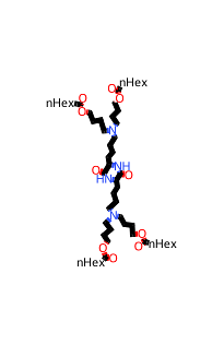 CCCCCCC(=O)OCCCCN(CCCCOC(=O)CCCCCC)CCCCC1NC(=O)C(CCCCN(CCCCOC(=O)CCCCCC)CCCCOC(=O)CCCCCC)NC1=O